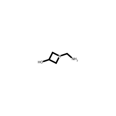 NCN1CC(O)C1